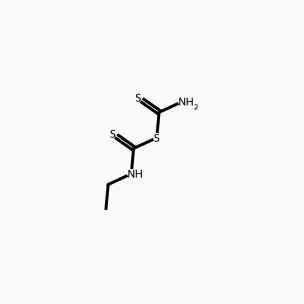 CCNC(=S)SC(N)=S